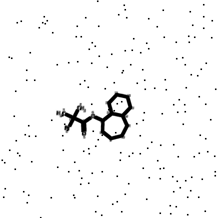 CCC(C)(C)C(=O)OC1CCCCC2CCCCC21